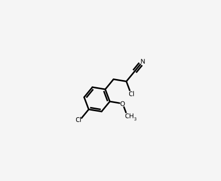 COc1cc(Cl)ccc1CC(Cl)C#N